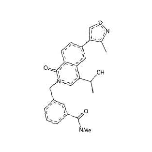 CNC(=O)c1cccc(Cn2cc(C(C)O)c3cc(-c4conc4C)ccc3c2=O)c1